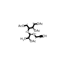 C#CCO[C@H](OC(COC(C)=O)[C@@H](COC(C)=O)OC(C)=O)[C@H](C)OC(C)=O